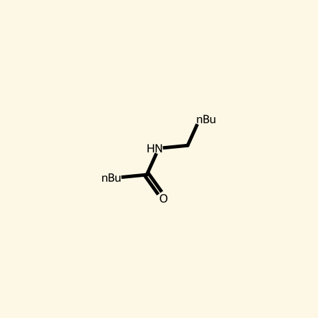 CCCCCNC(=O)CCCC